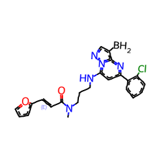 Bc1cnn2c(NCCCN(C)C(=O)/C=C/c3ccco3)cc(-c3ccccc3Cl)nc12